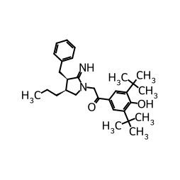 CCC[C@@H]1CN(CC(=O)c2cc(C(C)(C)C)c(O)c(C(C)(C)C)c2)C(=N)[C@@H]1Cc1ccccc1